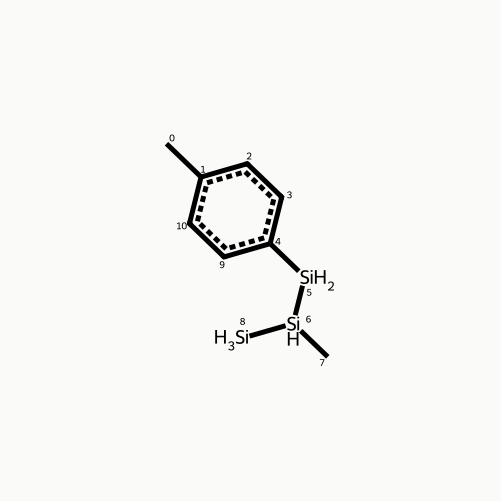 Cc1ccc([SiH2][SiH](C)[SiH3])cc1